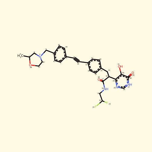 CC1CN(Cc2ccc(C#Cc3ccc(CC(C(=O)NCC(F)F)c4nc[nH]c(=O)c4O)cc3)cc2)CCO1